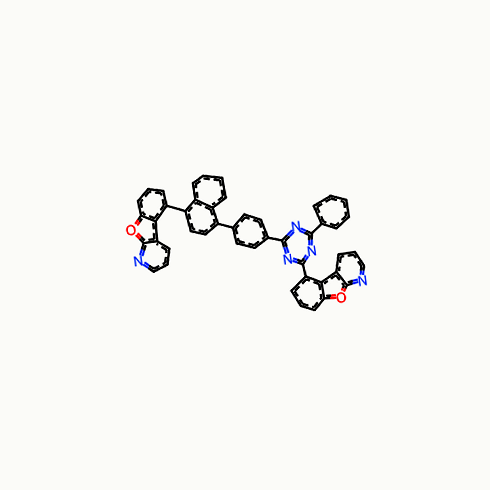 c1ccc(-c2nc(-c3ccc(-c4ccc(-c5cccc6oc7ncccc7c56)c5ccccc45)cc3)nc(-c3cccc4oc5ncccc5c34)n2)cc1